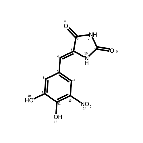 O=C1NC(=O)C(=Cc2cc(O)c(O)c([N+](=O)[O-])c2)N1